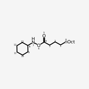 CCCCCCCCCCCC(=O)ONC1CCCCC1